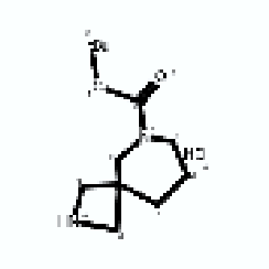 CC(C)(C)OC(=O)N1CCCC2(CNC2)C1.Cl